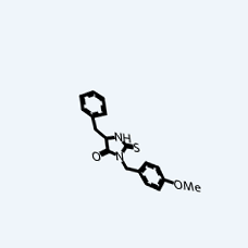 COc1ccc(CN2C(=O)C(Cc3ccccc3)NC2=S)cc1